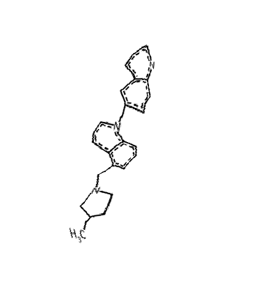 C[C]1CCN(Cc2cccc3c2ccn3-c2ccc3ncccc3c2)C1